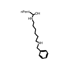 CCCCCC(O)NCCCCCCNCc1ccccc1